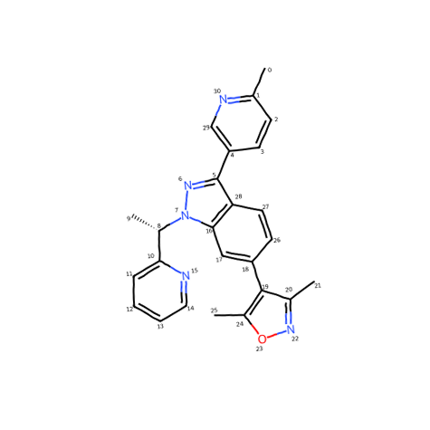 Cc1ccc(-c2nn([C@@H](C)c3ccccn3)c3cc(-c4c(C)noc4C)ccc23)cn1